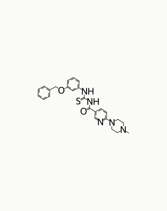 CN1CCN(c2ccc(C(=O)NC(=S)Nc3cccc(OCc4ccccc4)c3)cn2)CC1